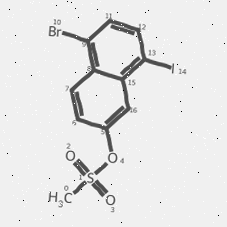 CS(=O)(=O)Oc1ccc2c(Br)ccc(I)c2c1